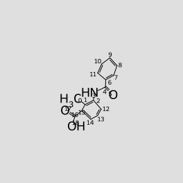 Cc1c(NC(=O)c2ccccc2)cccc1C(=O)O